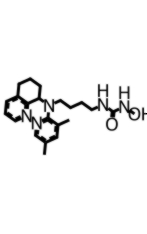 Cc1cnc(N(CCCCNC(=O)NO)C2CCCc3cccnc32)c(C)c1